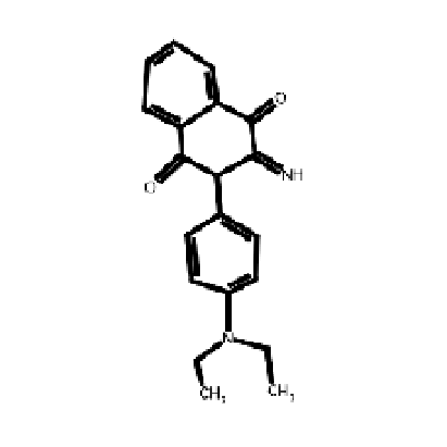 CCN(CC)c1ccc(C2C(=N)C(=O)c3ccccc3C2=O)cc1